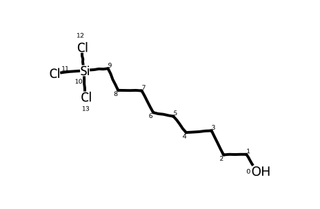 OCCCCCCCCC[Si](Cl)(Cl)Cl